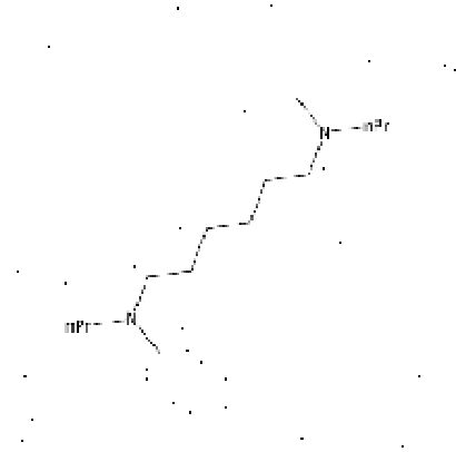 CCCN(C)CCCCCCN(C)CCC